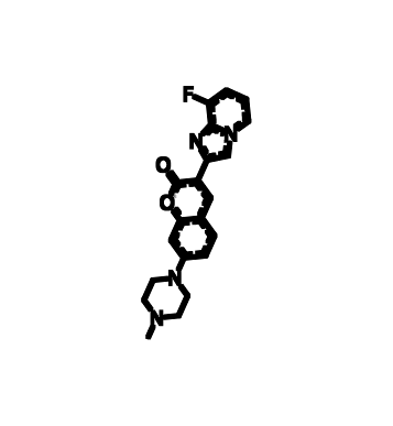 CN1CCN(c2ccc3cc(-c4cn5cccc(F)c5n4)c(=O)oc3c2)CC1